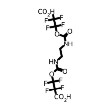 O=C(NCCNC(=O)OC(F)(F)C(F)(F)C(=O)O)OC(F)(F)C(F)(F)C(=O)O